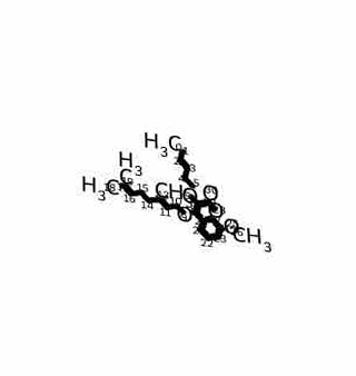 CCC=CCCOc1c(OC/C=C(\C)CCC=C(C)C)c2cccc(OC)c2oc1=O